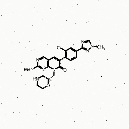 CNc1ncc2cc(-c3ccc(-c4ncn(C)n4)cc3Cl)c(=O)n(C[C@H]3CNCCO3)c2n1